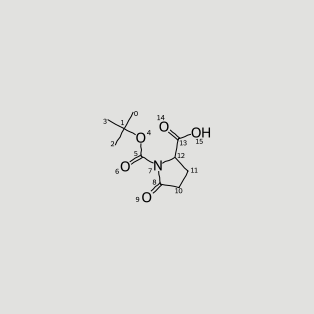 CC(C)(C)OC(=O)N1C(=O)CCC1C(=O)O